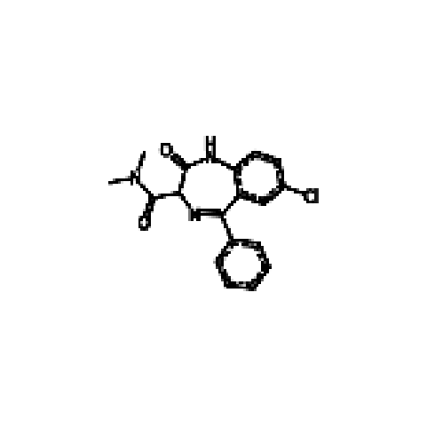 CN(C)C(=O)C1N=C(c2ccccc2)c2cc(Cl)ccc2NC1=O